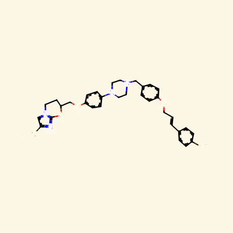 O=[N+]([O-])c1cn2c(n1)OC(COc1ccc(N3CCN(Cc4ccc(OCC=Cc5ccc(C(F)(F)F)cc5)cc4)CC3)cc1)CC2